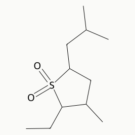 CCC1C(C)CC(CC(C)C)S1(=O)=O